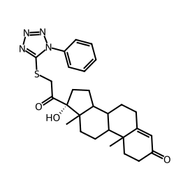 CC12CCC(=O)C=C1CCC1C2CCC2(C)C1CC[C@]2(O)C(=O)CSc1nnnn1-c1ccccc1